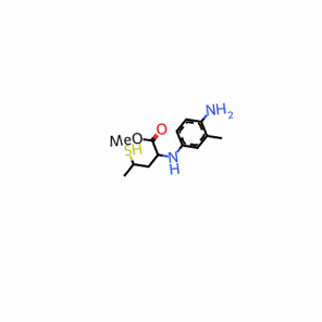 COC(=O)C(CC(C)S)Nc1ccc(N)c(C)c1